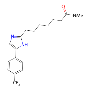 CNC(=O)CCCCCCc1ncc(-c2ccc(C(F)(F)F)cc2)[nH]1